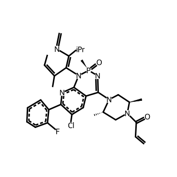 C=CC(=O)N1C[C@H](C)N(C2=N[P@@](C)(=O)N(C(/C(C)=C\C)=C(/N=C)C(C)C)c3nc(-c4ccccc4F)c(Cl)cc32)C[C@H]1C